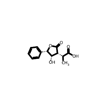 CC(C(=O)O)[C@H]1C(=O)O[C@@H](c2ccccc2)[C@H]1O